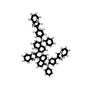 c1ccc(N(c2ccc(-c3cn4ccccc4n3)cc2)c2cccc3c(-c4nc5ccccc5nc4-c4cccc5c(N(c6ccccc6)c6ccc(-c7cn8ccccc8n7)cc6)cccc45)cccc23)cc1